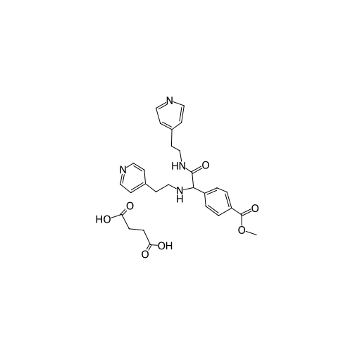 COC(=O)c1ccc(C(NCCc2ccncc2)C(=O)NCCc2ccncc2)cc1.O=C(O)CCC(=O)O